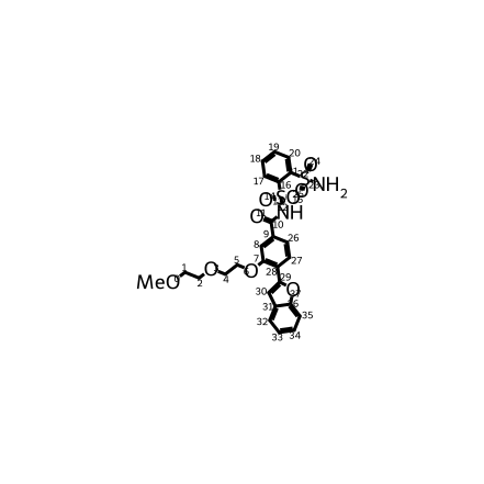 COCCOCCOc1cc(C(=O)NS(=O)(=O)c2ccccc2S(N)(=O)=O)ccc1-c1cc2ccccc2o1